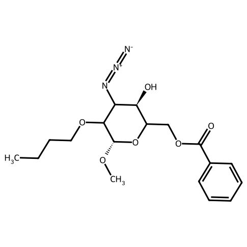 CCCCOC1C(N=[N+]=[N-])[C@@H](O)C(COC(=O)c2ccccc2)O[C@@H]1OC